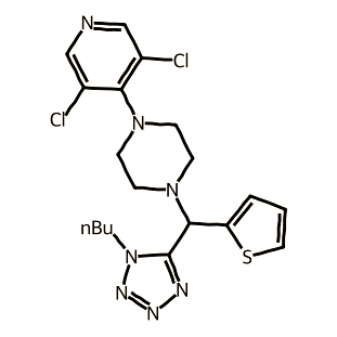 CCCCn1nnnc1C(c1cccs1)N1CCN(c2c(Cl)cncc2Cl)CC1